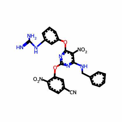 N#Cc1ccc([N+](=O)[O-])c(Oc2nc(NCc3ccccc3)c([N+](=O)[O-])c(Oc3cccc(NC(=N)N)c3)n2)c1